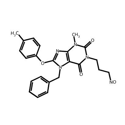 Cc1ccc(Oc2nc3c(c(=O)n(CCCN=O)c(=O)n3C)n2Cc2ccccc2)cc1